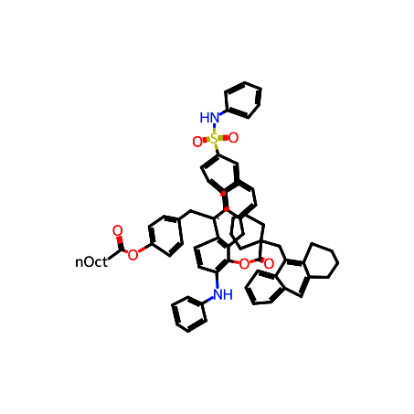 CCCCCCCCC(=O)Oc1ccc(C[C](Cc2ccc(S(=O)(=O)Nc3ccccc3)cc2)c2ccc(Nc3ccccc3)c(OC(=O)C3(Cc4c5c(cc6ccccc46)CCCC5)CCCCC3)c2Cc2ccccc2)cc1